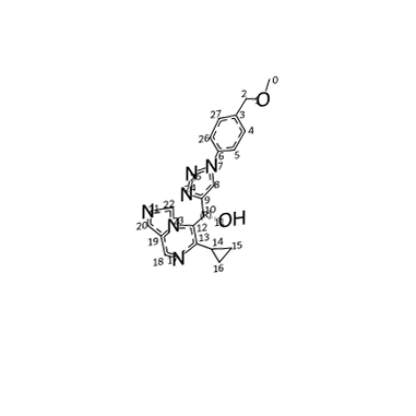 COCc1ccc(-n2cc([C@H](O)c3c(C4CC4)ncc4cncn34)nn2)cc1